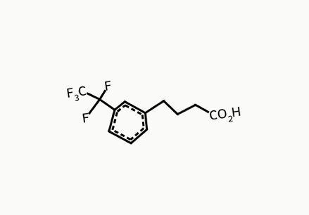 O=C(O)CCCc1cccc(C(F)(F)C(F)(F)F)c1